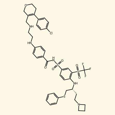 O=C(NS(=O)(=O)c1ccc(N[C@H](CCN2CCC2)CSc2ccccc2)c(S(=O)(=O)C(F)(F)F)c1)c1ccc(NCCNCC2=C(c3ccc(Cl)cc3)CCOC2)cc1